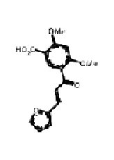 COc1cc(OC)c(C(=O)C=Cc2ccco2)cc1C(=O)O